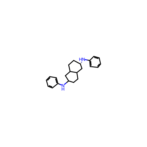 c1ccc(NC2CCC3C[C@@H](Nc4ccccc4)CCC3C2)cc1